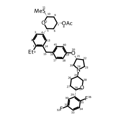 CCc1ccc([C@H]2C[C@@H](OC(C)=O)C[C@@H](SC)O2)cc1Cc1ccc(O[C@@H]2CCN([C@@H]3CC[C@@H](c4cc(F)ccc4F)OC3)C2)cc1